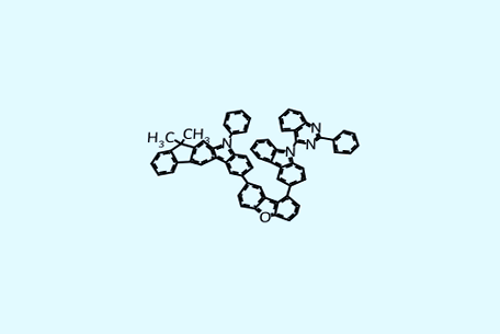 CC1(C)c2ccccc2-c2cc3c4cc(-c5ccc6oc7cccc(-c8ccc9c(c8)c8ccccc8n9-c8nc(-c9ccccc9)nc9ccccc89)c7c6c5)ccc4n(-c4ccccc4)c3cc21